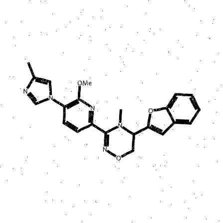 COc1nc(C2=NOCC(c3cc4ccccc4o3)N2C)ccc1-n1cnc(C)c1